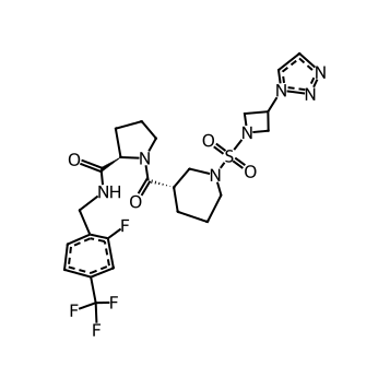 O=C(NCc1ccc(C(F)(F)F)cc1F)[C@H]1CCCN1C(=O)[C@H]1CCCN(S(=O)(=O)N2CC(n3ccnn3)C2)C1